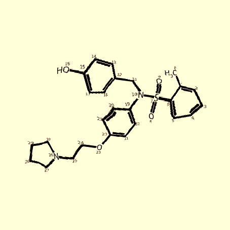 Cc1ccccc1S(=O)(=O)N(Cc1ccc(O)cc1)c1ccc(OCCN2CCCC2)cc1